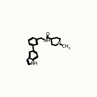 CN1CCC(C(=O)NCc2cccc(-c3ccc4[nH]ccc4c3)c2)CC1